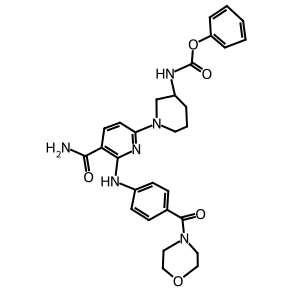 NC(=O)c1ccc(N2CCCC(NC(=O)Oc3ccccc3)C2)nc1Nc1ccc(C(=O)N2CCOCC2)cc1